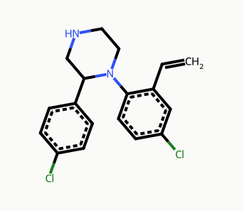 C=Cc1cc(Cl)ccc1N1CCNCC1c1ccc(Cl)cc1